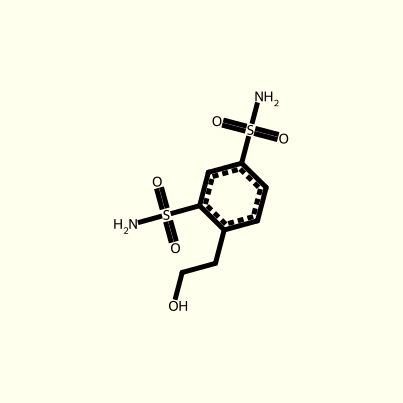 NS(=O)(=O)c1ccc(CCO)c(S(N)(=O)=O)c1